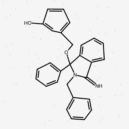 N=C1c2ccccc2C(OCc2cccc(O)c2)(c2ccccc2)N1Cc1ccccc1